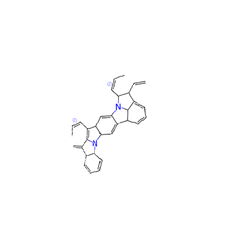 C=CC1C2=CC=CC3C4=CC5C(C=C4N(C1/C=C\C)C23)C(/C=C\C)=C1C(=C)C2C=CC=CC2N15